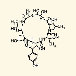 C=C1[C@H](C(C)O)NC(=O)[C@H](C(O)C(O)c2ccc(O)cc2)NC(=O)[C@@H]2CC(O)CN2C(=O)[C@H](C(C)O)NC(=O)[C@H](N)C[C@@H](O)C(O)NC(=O)[C@@H]2C(O)C(C)CN12